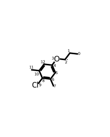 CC[CH]Oc1cc(C)c(Cl)c(C)c1